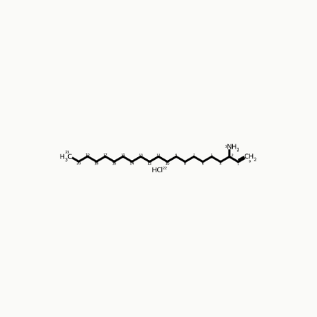 C=CC(N)CCCCCCCCCCCCCCCCCC.Cl